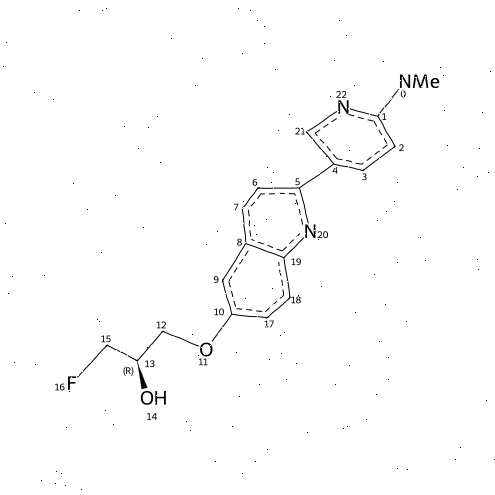 CNc1ccc(-c2ccc3cc(OC[C@@H](O)CF)ccc3n2)cn1